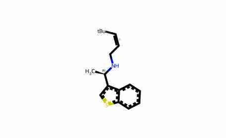 C[C@@H](NC/C=C\C(C)(C)C)c1csc2ccccc12